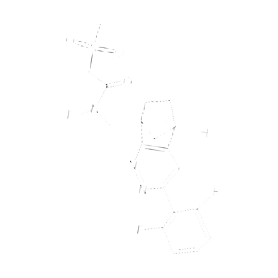 CCN(C[C@]12CC[C@H](C1)c1cc(-c3c(F)cccc3F)nnc12)C(=O)CS(C)(=O)=O